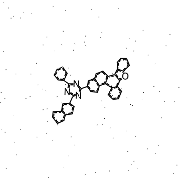 c1ccc(-c2nc(-c3ccc4ccccc4c3)nc(-c3ccc4c(ccc5c4c4ccccc4c4oc6ccccc6c54)c3)n2)cc1